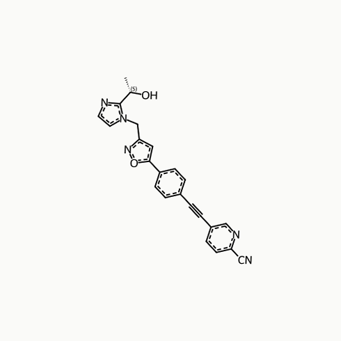 C[C@H](O)c1nccn1Cc1cc(-c2ccc(C#Cc3ccc(C#N)nc3)cc2)on1